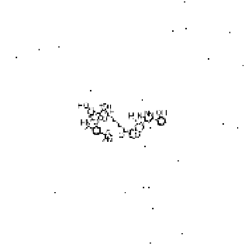 Cc1ncsc1-c1ccc(C(C)NC(=O)[C@@H]2C[C@@H](O)CN2C(=O)C(NC(=O)CCCCCC(=O)N2CCOC3(CCN(c4cc(-c5ccccc5O)nnc4N)CC3)C2)C(C)(C)C)cc1